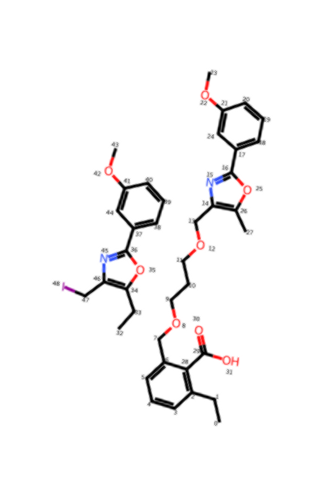 CCc1cccc(COCCCOCc2nc(-c3cccc(OC)c3)oc2C)c1C(=O)O.CCc1oc(-c2cccc(OC)c2)nc1CI